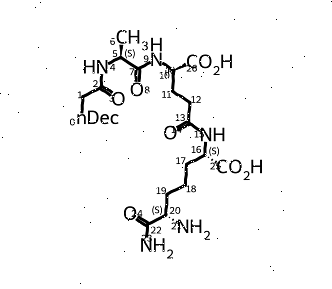 CCCCCCCCCCCC(=O)N[C@@H](C)C(=O)N[C@H](CCC(=O)N[C@@H](CCC[C@H](N)C(N)=O)C(=O)O)C(=O)O